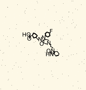 O=C(O)c1cccc(CN2CN(c3ccc(F)cc3)C3(CCN(CCCn4c5c([nH]c4=O)C=CCC5)CC3)C2=O)c1